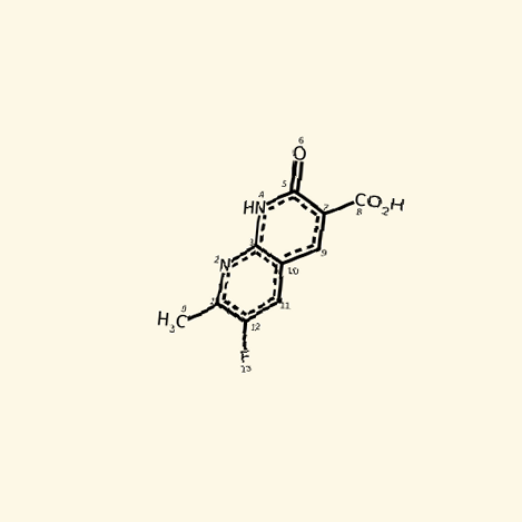 Cc1nc2[nH]c(=O)c(C(=O)O)cc2cc1F